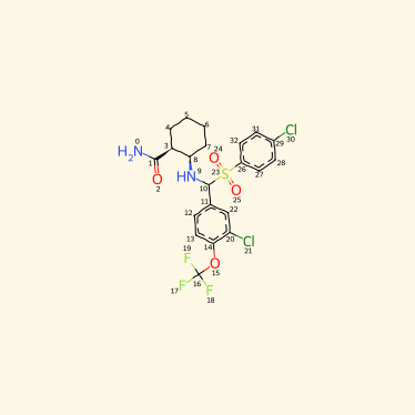 NC(=O)[C@H]1CCCC[C@H]1NC(c1ccc(OC(F)(F)F)c(Cl)c1)S(=O)(=O)c1ccc(Cl)cc1